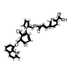 Cc1ccc2cccc(OCc3c(Cl)ccc(-n4cccc4CNC(=O)C=Cc4ccc(C(=O)O)nc4)c3Cl)c2n1